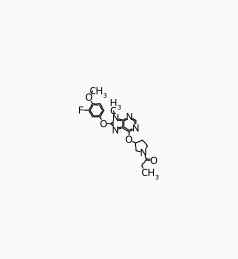 CCC(=O)N1CCC(Oc2ncnc3c2nc(Oc2ccc(OC)c(F)c2)n3C)C1